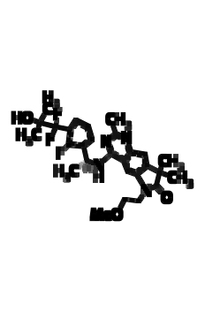 COCCN1C(=O)C(C)(C)c2cc3nc(C)nc(N[C@H](C)c4cccc(C(F)(F)C(C)(C)O)c4F)c3cc21